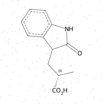 C[C@@H](CC1C(=O)Nc2ccccc21)C(=O)O